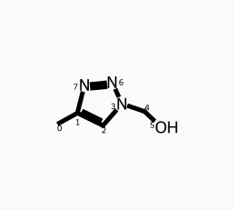 Cc1cn(CO)nn1